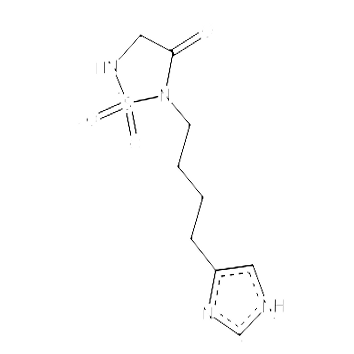 O=C1CNS(=O)(=O)N1CCCCc1c[nH]cn1